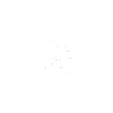 O=C(O)C[C@@H]1[C@H](/C(=C\CCOc2ccccc2)OC2CCCCO2)[C@H](OC2CCCCO2)C[C@@H]1O